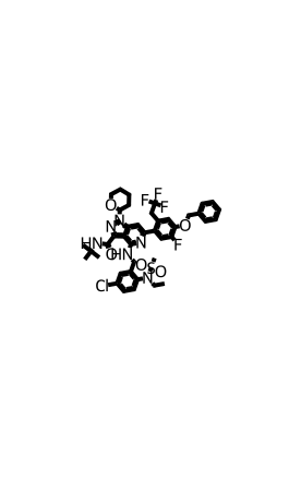 CCN(c1ccc(Cl)cc1CNc1nc(-c2cc(F)c(OCc3ccccc3)cc2CC(F)(F)F)cc2c1c(C(=O)NC(C)(C)C)nn2C1CCCCO1)S(C)(=O)=O